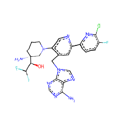 Nc1ncnc2c1ncn2Cc1cc(-c2ccc(F)c(Cl)n2)ncc1N1CCC[C@](N)([C@@H](O)C(F)F)C1